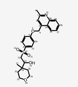 Cc1cc(COc2ccc(S(=O)(=O)CC(O)C3(C)CCOCC3)cc2)c2ccccc2n1